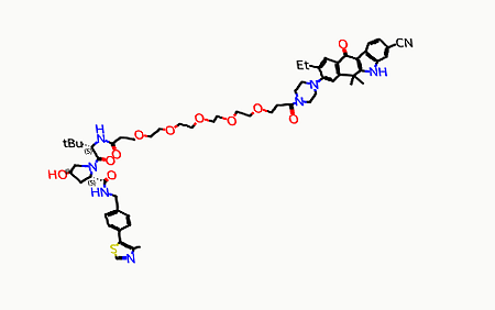 CCc1cc2c(cc1N1CCN(C(=O)CCOCCOCCOCCOCCOCCC(=O)N[C@H](C(=O)N3C[C@H](O)C[C@H]3C(=O)NCc3ccc(-c4scnc4C)cc3)C(C)(C)C)CC1)C(C)(C)c1[nH]c3cc(C#N)ccc3c1C2=O